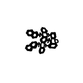 c1ccc2c(c1)B1c3cccc4c3N3c5c(cccc5B5c6ccccc6N(c6ccc7ccccc7c6)c6cc(c1c3c65)N2c1ccc2ccccc2c1)O4